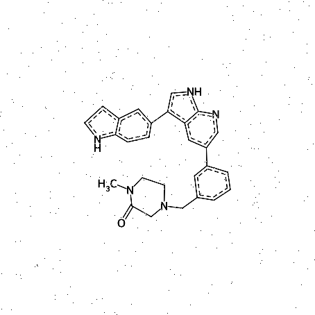 CN1CCN(Cc2cccc(-c3cnc4[nH]cc(-c5ccc6[nH]ccc6c5)c4c3)c2)CC1=O